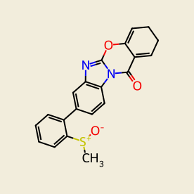 C[S+]([O-])c1ccccc1-c1ccc2c(c1)nc1oc3c(c(=O)n12)=CCCC=3